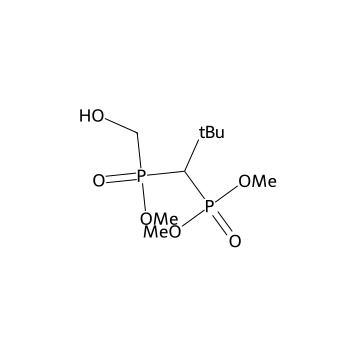 COP(=O)(CO)C(C(C)(C)C)P(=O)(OC)OC